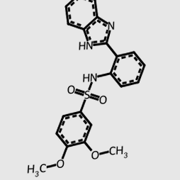 COc1ccc(S(=O)(=O)Nc2ccccc2-c2nc3ccccc3[nH]2)cc1OC